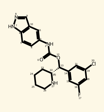 O=C(Nc1ccc2[nH]ncc2c1)OC(c1cc(F)cc(Cl)c1)[C@H]1CCCCN1